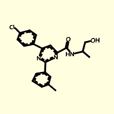 Cc1cccc(-c2nc(C(=O)NC(C)CO)cc(-c3ccc(Cl)cc3)n2)c1